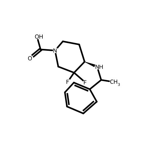 CC(N[C@@H]1CCN(C(=O)O)CC1(F)F)c1ccccc1